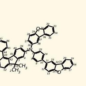 CC1(C)c2cc(N(c3ccc(-c4ccc5oc6ccccc6c5c4)cc3)c3ccc4oc5ccccc5c4c3)ccc2-c2c(-c3ccccc3)cccc21